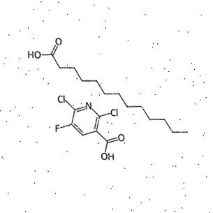 CCCCCCCCCCCCC(=O)O.O=C(O)c1cc(F)c(Cl)nc1Cl